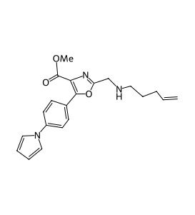 C=CCCCNCc1nc(C(=O)OC)c(-c2ccc(-n3cccc3)cc2)o1